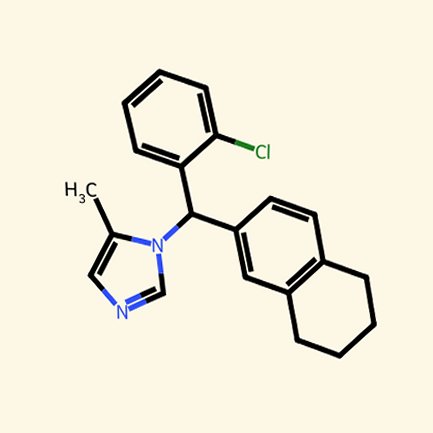 Cc1cncn1C(c1ccc2c(c1)CCCC2)c1ccccc1Cl